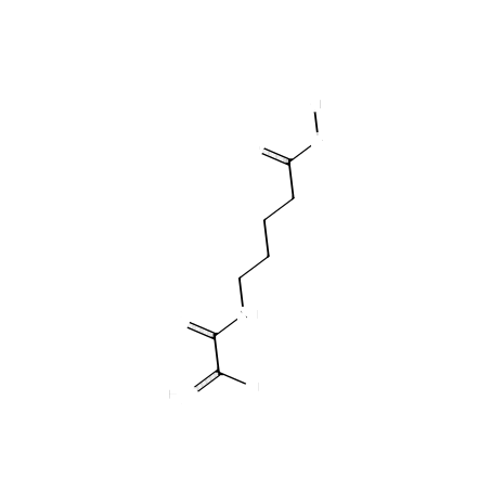 C=C(C)C(=O)NCCCCC(=O)OC